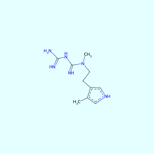 Cc1c[nH]cc1CCN(C)C(=N)NC(=N)N